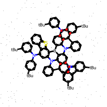 CC(C)(C)c1ccc(N(c2cccc(C(C)(C)C)c2)c2ccc3c(c2)N(c2ccccc2-c2ccccc2)c2cc(-n4c5ccc(C(C)(C)C)cc5c5cc(C(C)(C)C)ccc54)cc4c2B3c2c(cc(N(c3ccc(C(C)(C)C)cc3)c3cccc(C(C)(C)C)c3)c3c2sc2ccccc23)N4c2ccccc2-c2ccccc2)cc1